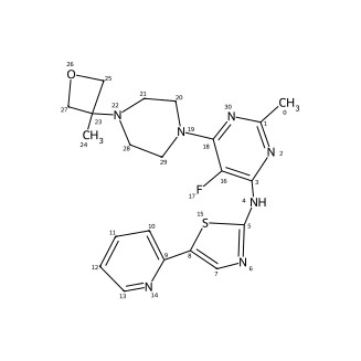 Cc1nc(Nc2ncc(-c3ccccn3)s2)c(F)c(N2CCN(C3(C)COC3)CC2)n1